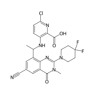 CC(Nc1ccc(Cl)nc1C(=O)O)c1cc(C#N)cc2c(=O)n(C)c(N3CCC(F)(F)CC3)nc12